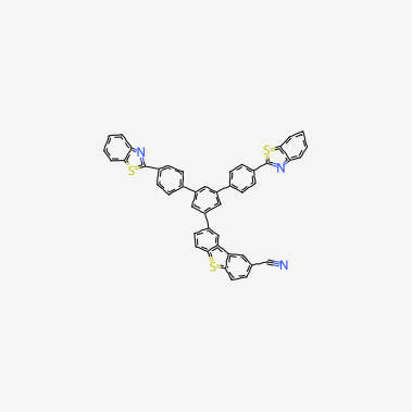 N#Cc1ccc2sc3ccc(-c4cc(-c5ccc(-c6nc7ccccc7s6)cc5)cc(-c5ccc(-c6nc7ccccc7s6)cc5)c4)cc3c2c1